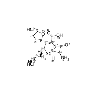 Cl.Cl.Cl.Cl.Cl.N[C@@H]1C(=O)N2C(C(=O)O)=C(C3CCCO3)CS[C@H]12.P